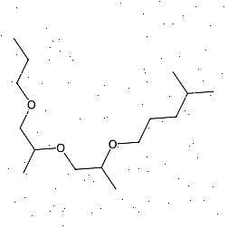 CCCOCC(C)OCC(C)OCCCC(C)C